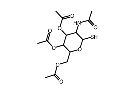 CC(=O)NC1C(S)OC(COC(C)=O)C(OC(C)=O)C1OC(C)=O